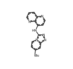 CC(C)(C)c1ccn2c(Nc3ccnc4cccnc34)nnc2c1